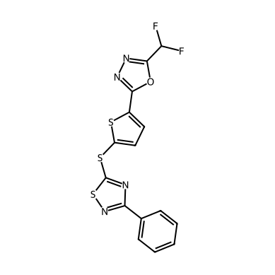 FC(F)c1nnc(-c2ccc(Sc3nc(-c4ccccc4)ns3)s2)o1